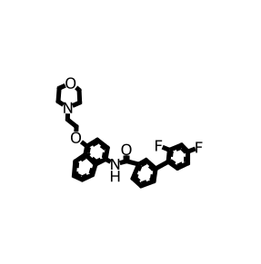 O=C(Nc1ccc(OCCN2CCOCC2)c2ccccc12)c1cccc(-c2ccc(F)cc2F)c1